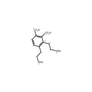 CCCCCCCCCCCCc1ccc(C(=O)O)c(C(=O)O)c1CCCCCCCCCCCC